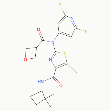 Cc1sc(N(C(=O)C2COC2)c2cc(F)nc(F)c2)nc1C(=O)NC1CCC1(C)C